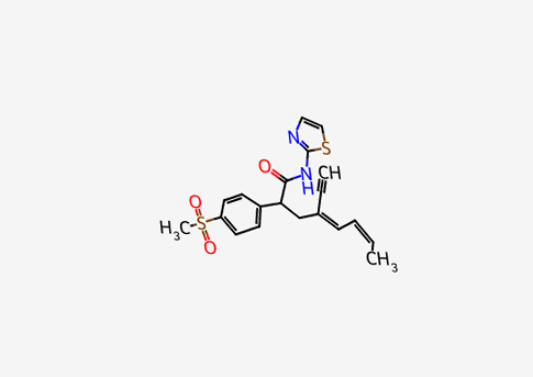 C#C/C(=C\C=C/C)CC(C(=O)Nc1nccs1)c1ccc(S(C)(=O)=O)cc1